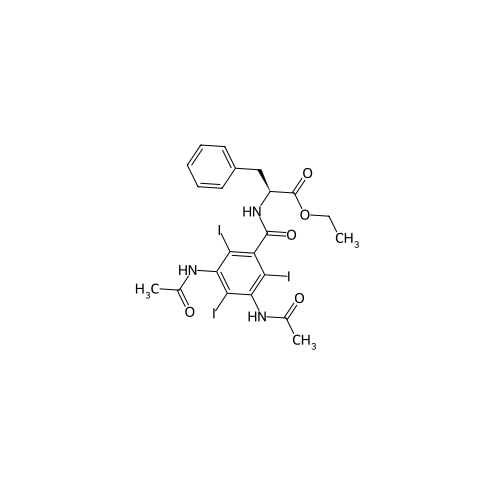 CCOC(=O)[C@H](Cc1ccccc1)NC(=O)c1c(I)c(NC(C)=O)c(I)c(NC(C)=O)c1I